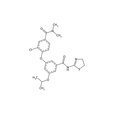 CC(C)Oc1cc(Oc2ccc(C(=O)N(C)C)cc2Cl)cc(C(=O)NC2=NCCS2)c1